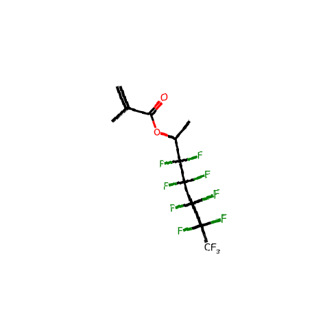 C=C(C)C(=O)OC(C)C(F)(F)C(F)(F)C(F)(F)C(F)(F)C(F)(F)F